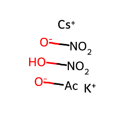 CC(=O)[O-].O=[N+]([O-])O.O=[N+]([O-])[O-].[Cs+].[K+]